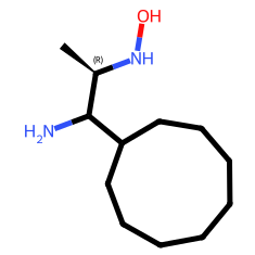 C[C@@H](NO)C(N)C1CCCCCCCC1